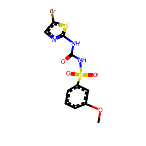 COc1cccc(S(=O)(=O)NC(=O)Nc2ncc(Br)s2)c1